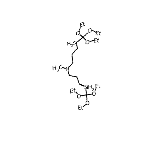 CCOC(OCC)(OCC)[SiH2]CCCN(C)CCC[SiH2]C(OCC)(OCC)OCC